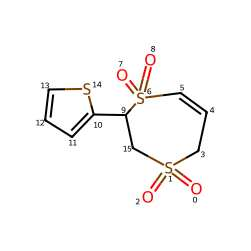 O=S1(=O)CC=CS(=O)(=O)C(c2cccs2)C1